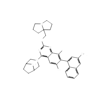 Nc1cc(-c2c(Cl)cc3c(N4CC5CCC(C4)N5)nc(OCC45CCCN4CCC5)nc3c2F)c2ccccc2c1